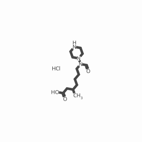 CC(CCCCN(C=O)N1CCNCC1)CC(=O)O.Cl